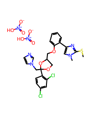 CSc1nc(-c2ccccc2OCC2COC(Cn3ccnc3)(c3ccc(Cl)cc3Cl)O2)cn1C.O=[N+]([O-])O.O=[N+]([O-])O